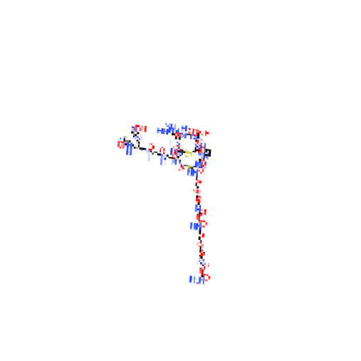 C/C(=N/O)C(C)(C)NCCC(CCNC(=O)CCCC(=O)NCCCC[C@@H]1NC(=O)CSC[C@@H](C(=O)NCCOCCOCCOCCNC(=O)COCC(=O)NCCOCCOCCOCCNC(=O)COCC(N)=O)NC(=O)[C@H](Cc2ccccc2)NC(=O)[C@@H]2CSSC[C@H](NC1=O)C(=O)N[C@@H](CCCNC(=N)N)C(=O)NCC(=O)N[C@@H](CC(=O)O)C(=O)N2)CCNC(C)(C)/C(C)=N\O